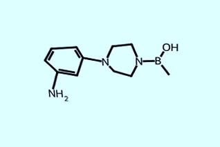 CB(O)N1CCN(c2cccc(N)c2)CC1